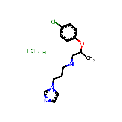 CC(CNCCCn1ccnc1)Oc1ccc(Cl)cc1.Cl.Cl